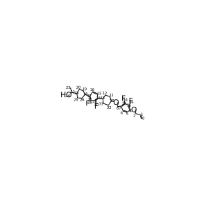 C=CCOc1ccc(COC2CCC(c3ccc(C4CCC(C(C)O)CC4)c(F)c3F)CC2)c(F)c1F